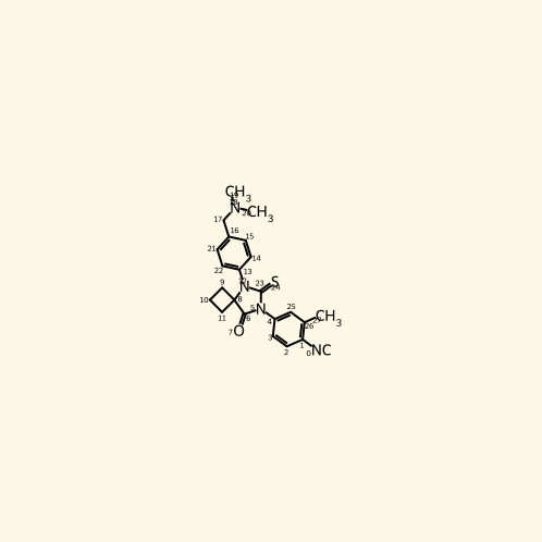 [C-]#[N+]c1ccc(N2C(=O)C3(CCC3)N(c3ccc(CN(C)C)cc3)C2=S)cc1C